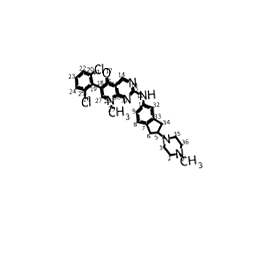 CN1CCN(C2Cc3ccc(Nc4ncc5c(=O)c(-c6c(Cl)cccc6Cl)cn(C)c5n4)cc3C2)CC1